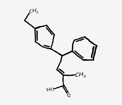 CCc1ccc(C(/C=C(\C)C(=O)O)c2ccccc2)cc1